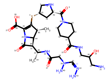 C[C@H]1C(S[C@@H]2CN[C@H](C(=O)N3CCC(C(=O)NCC(O)CN)CC3)C2)=C(C(=O)O)N2C(=O)[C@H]([C@@H](C)NC(=O)CN(N)/C=N\N)C12